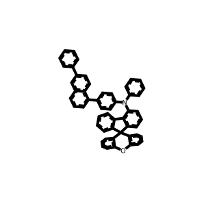 c1ccc(-c2ccc3c(-c4ccc(N(c5ccccc5)c5cccc6c5-c5ccccc5C65c6ccccc6Oc6ccccc65)cc4)cccc3c2)cc1